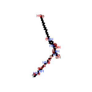 CCC(CNC(=O)CNC(=O)COCCOCCNC(=O)COCCOCCNC(=O)[C@H](CCC(=O)O)NC(=O)CC[C@H](NC(=O)C1CCC(CNC(=O)CCCCCCCCCCCCCCCCCCC(=O)O)CC1)C(=O)O)OC